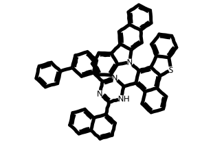 c1ccc(-c2cccc(C3=NC(c4c(-n5c6ccccc6c6cc7ccccc7cc65)c5c6ccccc6sc5c5ccccc45)NC(c4cccc5ccccc45)=N3)c2)cc1